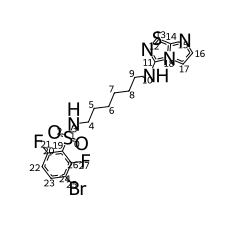 O=S(=O)(NCCCCCCNc1nsc2nccn12)c1c(F)ccc(Br)c1F